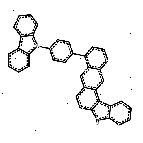 c1cc(-c2ccc(-n3c4ccccc4c4ccccc43)cc2)c2cc3ccc4[nH]c5ccccc5c4c3cc2c1